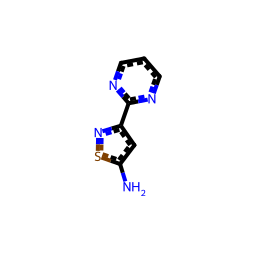 Nc1cc(-c2ncccn2)ns1